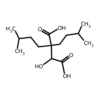 CC(C)CCC(CCC(C)C)(C(=O)O)C(O)C(=O)O